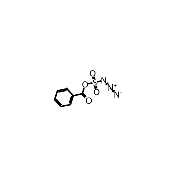 [N-]=[N+]=NS(=O)(=O)OC(=O)c1ccccc1